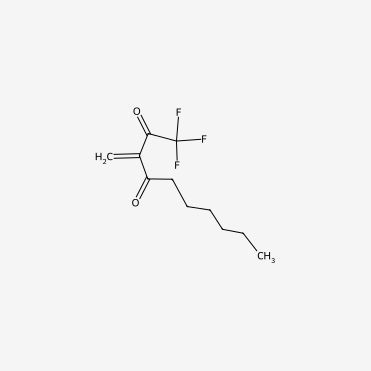 C=C(C(=O)CCCCCC)C(=O)C(F)(F)F